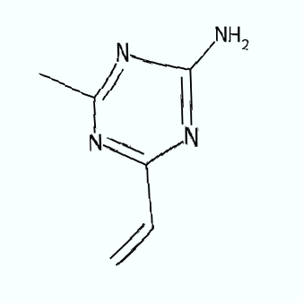 C=Cc1nc(C)nc(N)n1